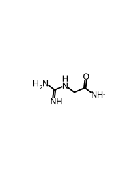 [NH]C(=O)CNC(=N)N